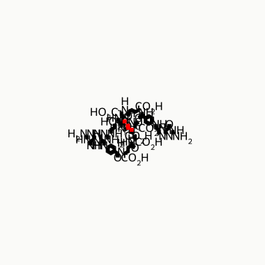 N=C(N)NCCC[C@H](NC(=O)[C@H](CC(=O)O)NC(=O)CC[C@H](NC(=O)c1ccc(NCc2cnc3nc(N)[nH]c(=O)c3n2)cc1)C(=O)O)C(=O)N[C@@H](CC(=O)O)C(=O)N[C@@H](CC(=O)O)C(=O)N[C@@H](CSSC[C@H](NC(=O)CC[C@H](NC(=O)c1ccc(NCc2cnc3nc(N)[nH]c(=N)c3n2)cc1)C(=O)O)C(=O)O)C(=O)O